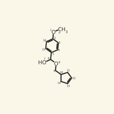 COc1ccc(C(O)OCC2CC=CC2)cc1